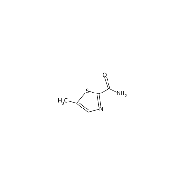 Cc1cnc(C(N)=O)s1